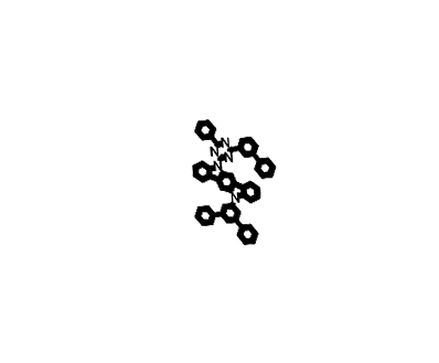 c1ccc(-c2cccc(-c3nc(-c4ccccc4)nc(-n4c5ccccc5c5cc6c(cc54)c4ccccc4n6-c4cc(-c5ccccc5)cc(-c5ccccc5)c4)n3)c2)cc1